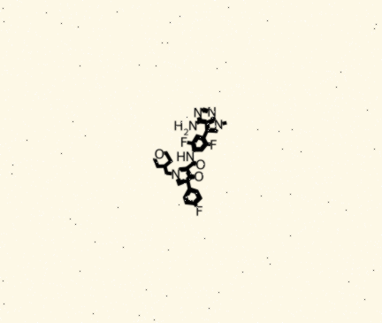 Cn1cc(-c2cc(F)c(NC(=O)c3cn(CC4CCOCC4)cc(-c4ccc(F)cc4)c3=O)cc2F)c2c(N)ncnc21